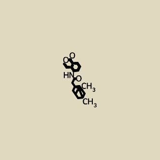 CC12CC3CC(C)(C1)CC(CC(=O)Nc1cccc4c(=O)occc14)(C3)C2